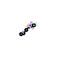 O=C(CN1C(=O)NC2(CCC(F)(F)CC2)C1=O)c1ccc(-c2ccc3ccccc3n2)cc1